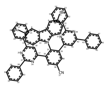 CC(C)(C)c1ccc2c(c1)c1cc(C(C)(C)C)ccc1n2-c1c(-c2cc(-c3ccccc3)nc(-c3ccccc3)n2)cc(C#N)cc1-c1cc(-c2ccccc2)nc(-c2ccccc2)n1